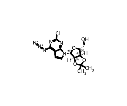 CC1(C)O[C@@H]2[C@H](O1)[C@@H](CO)O[C@H]2n1ccc2c(N=[N+]=[N-])nc(Cl)nc21